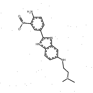 CN(C)CCNc1ccc2[nH]c(-c3ccc(N)c([N+](=O)[O-])c3)nc2c1